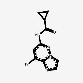 CC(C)c1cc(NC(=O)C2CC2)nn2ccnc12